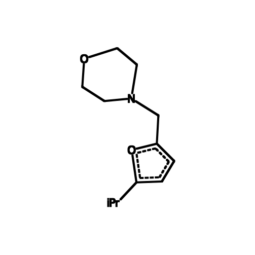 CC(C)c1ccc(CN2CCOCC2)o1